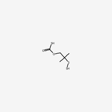 CC(C)(COC(=O)S)SS